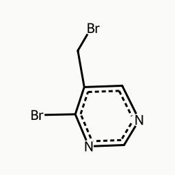 BrCc1cncnc1Br